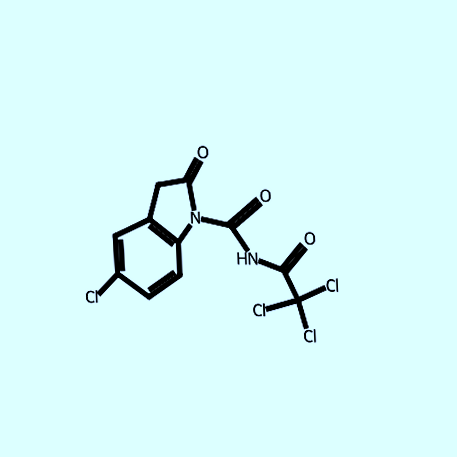 O=C1Cc2cc(Cl)ccc2N1C(=O)NC(=O)C(Cl)(Cl)Cl